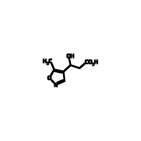 Cc1oncc1C(O)CC(=O)O